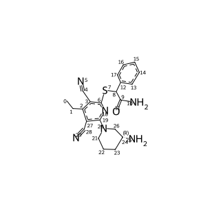 CCc1c(C#N)c(SC(C(N)=O)c2ccccc2)nc(N2CCC[C@@H](N)C2)c1C#N